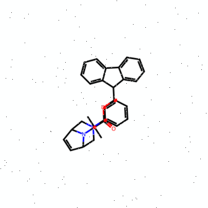 CC(C)(c1ccccc1)N1C2C=CC1CN(C(=O)OCC1c3ccccc3-c3ccccc31)C2